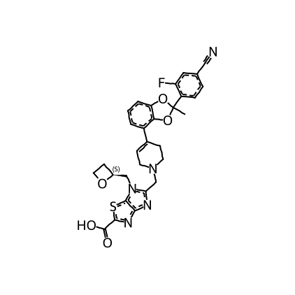 CC1(c2ccc(C#N)cc2F)Oc2cccc(C3=CCN(Cc4nc5nc(C(=O)O)sc5n4C[C@@H]4CCO4)CC3)c2O1